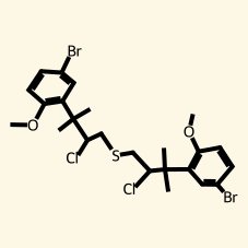 COc1ccc(Br)cc1C(C)(C)C(Cl)CSCC(Cl)C(C)(C)c1cc(Br)ccc1OC